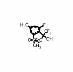 Cc1cc(F)c(C(O)(C(F)(F)F)C(F)(F)F)c(S(C)(=O)=O)c1